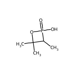 CC1C(C)(C)OP1(=O)O